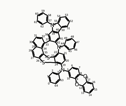 c1ccc(N(c2ccc3c(c2)Oc2ccccc2O3)c2ccc3c4c2Sc2ccc5cccc(c5c2S4)-c2cc4c(cc2N3c2ccccc2)c2ccccc2n4-c2ccccc2)cc1